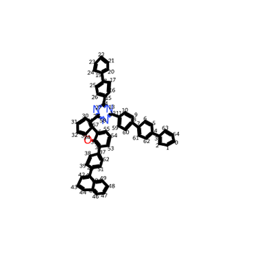 c1ccc(-c2ccc(-c3ccc(-c4nc(-c5ccc(-c6ccccc6)cc5)nc(-c5cccc6oc7c(-c8ccc(-c9cccc%10ccccc9%10)cc8)cccc7c56)n4)cc3)cc2)cc1